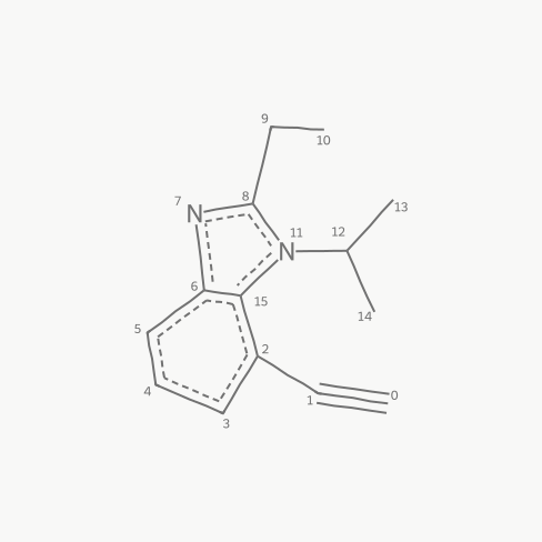 C#Cc1cccc2nc(CC)n(C(C)C)c12